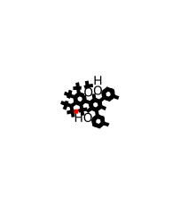 Cc1ccc(O)c(-c2c(C)c(-c3cc(C)ccc3O)c(C)c(-c3c(OC(C)(C)C)c(C(C)(C)C)c(C(C)(C)C)c(C(C(C)(C)C)C(C)(C)C)c3C(C)(C)C)c2C)c1